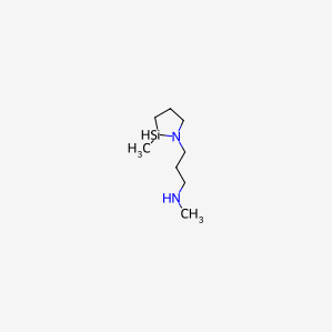 CNCCCN1CCC[SiH]1C